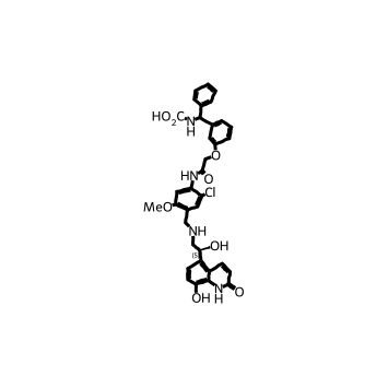 COc1cc(NC(=O)COc2cccc(C(NC(=O)O)c3ccccc3)c2)c(Cl)cc1CNC[C@@H](O)c1ccc(O)c2[nH]c(=O)ccc12